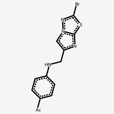 CC(=O)c1ccc(NCc2cn3nc(Br)sc3n2)cc1